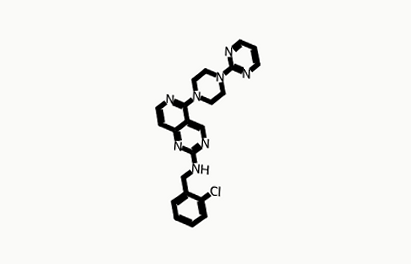 Clc1ccccc1CNc1ncc2c(N3CCN(c4ncccn4)CC3)nccc2n1